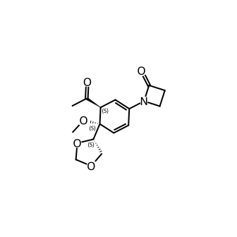 CO[C@@]1([C@@H]2COCO2)C=CC(N2CCC2=O)=C[C@@H]1C(C)=O